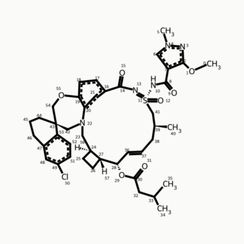 COc1nn(C)cc1C(=O)N[S@@]1(=O)=NC(=O)c2ccc3c(c2)N(C[C@@H]2CC[C@H]2[C@@H](OC(=O)CC(C)C)/C=C/C[C@H](C)C1)C[C@@]1(CCCc2cc(Cl)ccc21)CO3